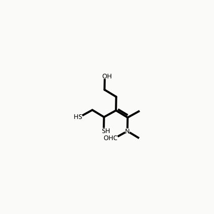 CC(=C(CCO)C(S)CS)N(C)C=O